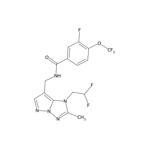 Cc1nn2ncc(CNC(=O)c3ccc(OC(F)(F)F)c(F)c3)c2n1CC(F)F